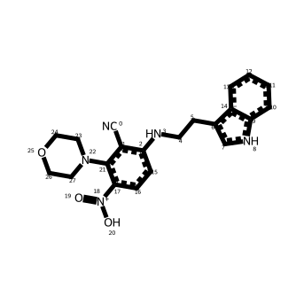 N#Cc1c(NCCc2c[nH]c3ccccc23)ccc([N+](=O)O)c1N1CCOCC1